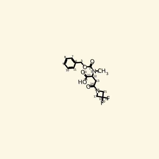 CN(C(=O)OCc1ccccc1)C(CC(=O)N1CC(F)(F)C1)C(=O)O